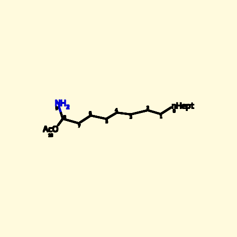 CCCCCCCCCCCCCCC(N)OC(C)=O